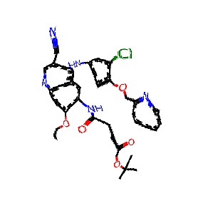 CCOc1cc2ncc(C#N)c(Nc3ccc(OCc4ccccn4)c(Cl)c3)c2cc1NC(=O)CCC(=O)OC(C)(C)C